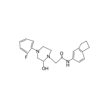 O=C(CN1CCN(c2ccccc2F)CC1O)Nc1ccc2c(c1)CCC2